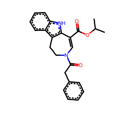 CC(C)OC(=O)C1=CN(C(=O)Cc2ccccc2)CCc2c1[nH]c1ccccc21